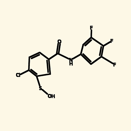 O=C(Nc1cc(F)c(F)c(F)c1)c1ccc(Cl)c(SO)c1